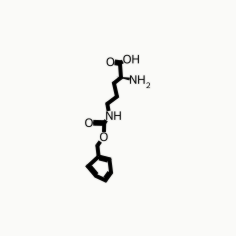 N[C@@H](CCCNC(=O)OCc1ccccc1)C(=O)O